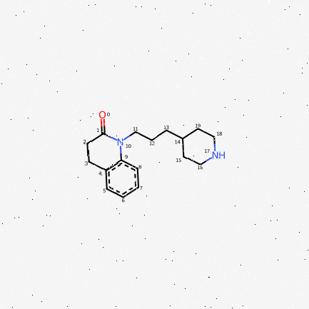 O=C1CCc2ccccc2N1CCCC1CCNCC1